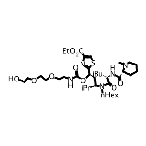 CCCCCCN(C(=O)[C@@H](NC(=O)[C@H]1CCCCN1C)[C@@H](C)CC)[C@H](C[C@@H](OC(=O)NCCOCCOCCO)c1nc(C(=O)OCC)cs1)C(C)C